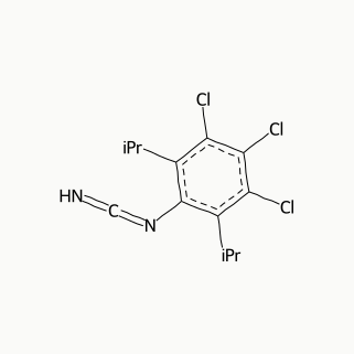 CC(C)c1c(Cl)c(Cl)c(Cl)c(C(C)C)c1N=C=N